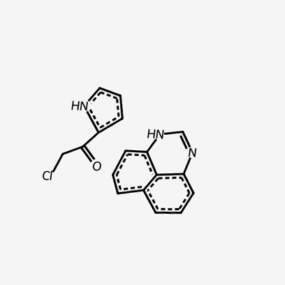 C1=Nc2cccc3cccc(c23)N1.O=C(CCl)c1ccc[nH]1